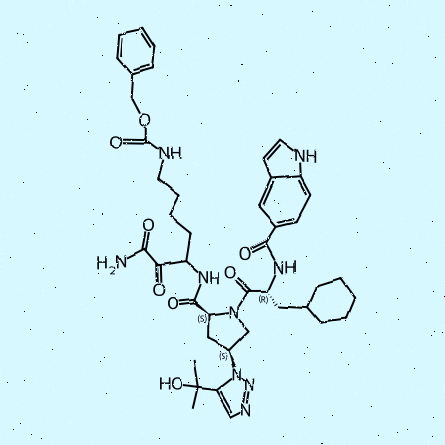 CC(C)(O)c1cnnn1[C@H]1C[C@@H](C(=O)NC(CCCCNC(=O)OCc2ccccc2)C(=O)C(N)=O)N(C(=O)[C@@H](CC2CCCCC2)NC(=O)c2ccc3[nH]ccc3c2)C1